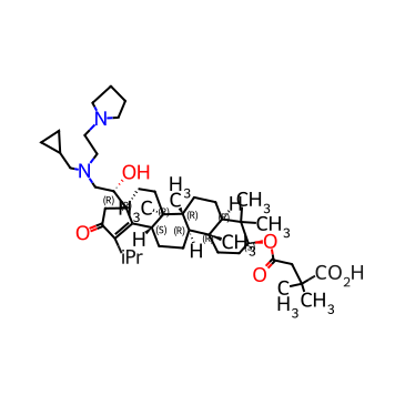 CC(C)C1=C2[C@H]3CC[C@@H]4[C@@]5(C)CC[C@H](OC(=O)CC(C)(C)C(=O)O)C(C)(C)[C@@H]5CC[C@@]4(C)[C@]3(C)CC[C@@]2([C@@H](O)CN(CCN2CCCC2)CC2CC2)CC1=O